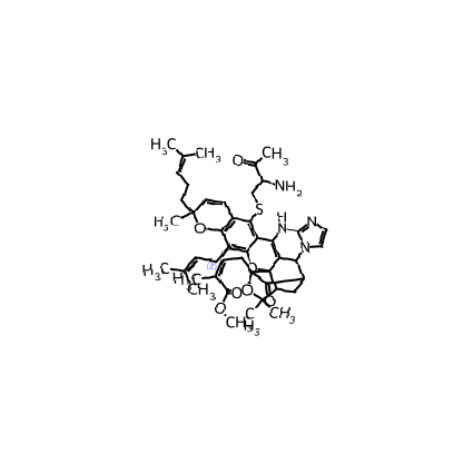 COC(=O)/C(C)=C\CC12OC(C)(C)C3CC(C1=O)C1C4=C(Nc5nccn51)c1c(c(CC=C(C)C)c5c(c1SCC(N)C(C)=O)C=CC(C)(CCC=C(C)C)O5)OC432